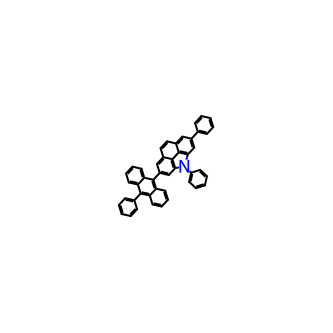 c1ccc(-c2cc3ccc4cc(-c5c6ccccc6c(-c6ccccc6)c6ccccc56)cc5c4c3c(c2)n5-c2ccccc2)cc1